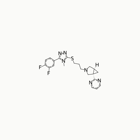 Cn1c(SCCCN2C[C@H]3C[C@@]3(c3ncccn3)C2)nnc1-c1ccc(F)c(F)c1